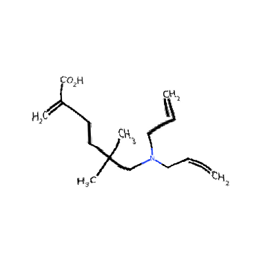 C=CCN(CC=C)CC(C)(C)CCC(=C)C(=O)O